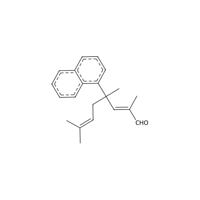 CC(C)=CCC(C)(C=C(C)C=O)c1cccc2ccccc12